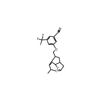 CC1C=C2C(COc3cc(C#N)cc(C(F)(F)F)c3)CC3CC(C1)CC23